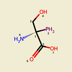 N[C@@](P)(CO)C(=O)O